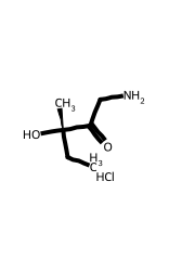 CC[C@](C)(O)C(=O)CN.Cl